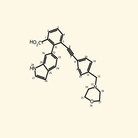 O=C(O)c1cccc(C#Cc2ccc(CN3CCOCC3)cc2)c1-c1ccc2cc[nH]c2c1